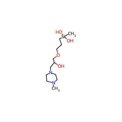 CN1CCN(CC(O)COCCC[Si](C)(O)O)CC1